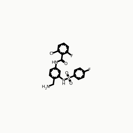 NCc1ccc(NC(=O)c2c(F)cccc2Cl)cc1NS(=O)(=O)c1ccc(F)cc1